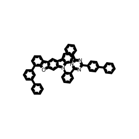 c1ccc(-c2ccc(-c3nc(-c4ccccc4)nc(-c4ccccc4-n4c5ccccc5c5cc6c(cc54)oc4c(-c5cccc(-c7ccccc7)c5)cccc46)n3)cc2)cc1